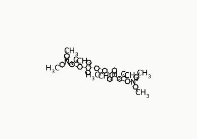 Cc1ccc(N(c2ccc(C)cc2)c2ccc3c(c2)C(C)(C)c2cc(-c4c5ccccc5c(-c5ccc6c(c5)C(C)(C)c5cc(-c7c8ccccc8c(-c8ccc9c(c8)C(C)(C)c8cc(N(c%10ccc(C)cc%10)c%10ccc(C)cc%10)ccc8-9)c8ccccc78)ccc5-6)c5ccccc45)ccc2-3)cc1